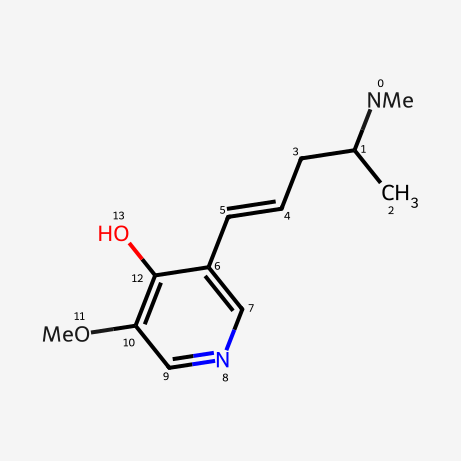 CNC(C)CC=Cc1cncc(OC)c1O